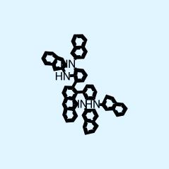 c1cc(Nc2ccc3ccccc3c2)c(Nc2ccc3ccccc3c2)c(-c2ccc3cc4ccccc4cc3c2-c2cccc(Nc3ccc4ccccc4c3)c2Nc2ccc3ccccc3c2)c1